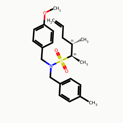 C=CC[C@H](C)[C@@H](C)S(=O)(=O)N(Cc1ccc(C)cc1)Cc1ccc(OC)cc1